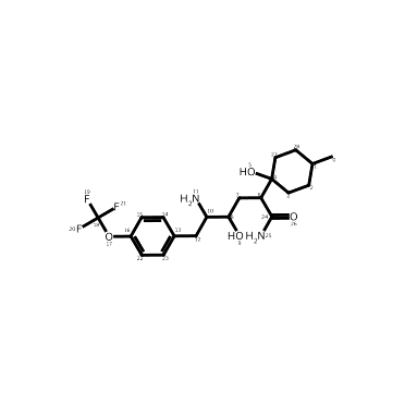 CC1CCC(O)(C(CC(O)C(N)Cc2ccc(OC(F)(F)F)cc2)C(N)=O)CC1